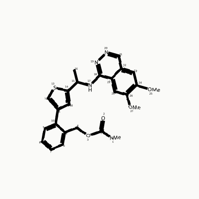 CNC(=O)OCc1ccccc1-c1csc(C(C)Nc2nncc3cc(OC)c(OC)cc23)c1